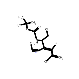 C=C(Cl)/C(F)=C(\C=C/C)C(CO)NC(=O)OC(C)(C)C